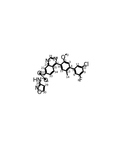 COc1cc(-c2cc(F)cc(Cl)c2)c(C)cc1-c1ncnc2cc(S(=O)(=O)Nc3ccon3)ccc12